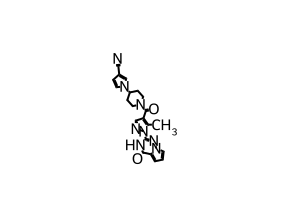 Cc1c(C(=O)N2CCC(n3ccc(C#N)c3)CC2)cnn1-c1nn2cccc2c(=O)[nH]1